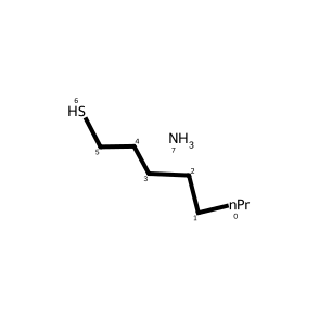 CCCCCCCCS.N